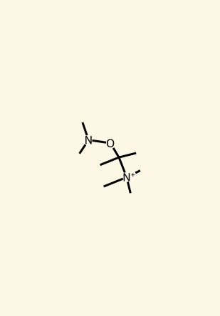 CN(C)OC(C)(C)[N+](C)(C)C